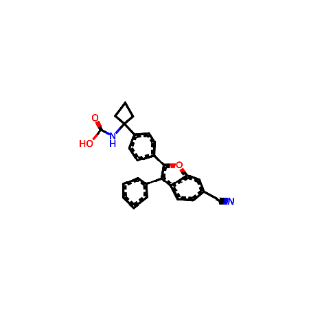 N#Cc1ccc2c(-c3ccccc3)c(-c3ccc(C4(NC(=O)O)CCC4)cc3)oc2c1